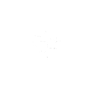 CC(C)C(O[Si](C)(C)C)C(O[Si](C)(C)C)c1c(Cl)cccc1Cl